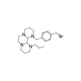 CCCN1CCCN2CCN3CCCN(Cc4ccc(CBr)cc4)C3C12